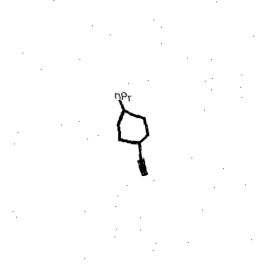 C#CC1CCC(CCC)CC1